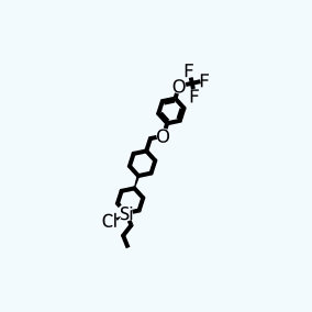 CCC[Si@]1(Cl)CC[C@@H](C2CCC(COc3ccc(OC(F)(F)F)cc3)CC2)CC1